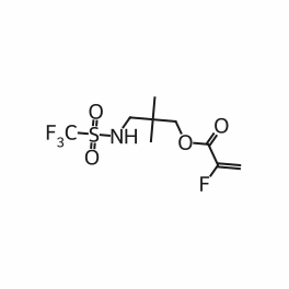 C=C(F)C(=O)OCC(C)(C)CNS(=O)(=O)C(F)(F)F